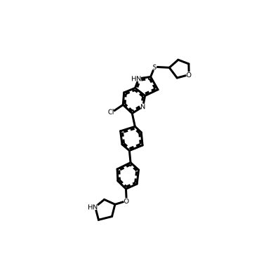 Clc1cc2[nH]c(SC3CCOC3)cc2nc1-c1ccc(-c2ccc(OC3CCNC3)cc2)cc1